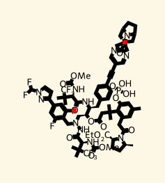 CCOC(=O)[C@@H]1CC[C@H](C)N1C(=O)Cc1cc(C)cc(OP(=O)(O)O)c1C(C)(C)CC(=O)O[C@@H](CN(Cc1c(F)cc(-c2ccn(C(F)F)n2)cc1F)NC(=O)[C@@H](NC(=O)OC)C(C)(C)C(F)(F)F)[C@H](Cc1ccc(C#Cc2cnc(N3CC4CCC(C3)N4C3COC3)nc2)cc1)NC(=O)[C@@H](NC(=O)OC)C(C)(C)C(F)(F)F